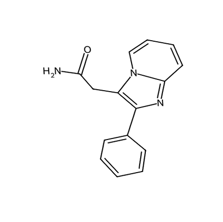 NC(=O)Cc1c(-c2ccccc2)nc2ccccn12